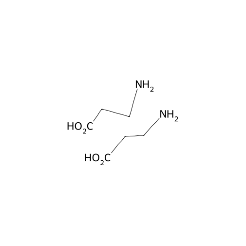 NCCC(=O)O.NCCC(=O)O